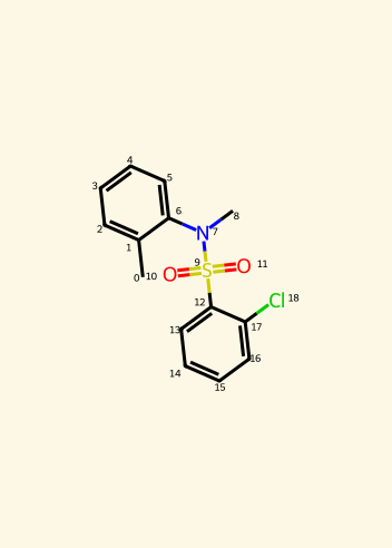 Cc1ccccc1N(C)S(=O)(=O)c1ccccc1Cl